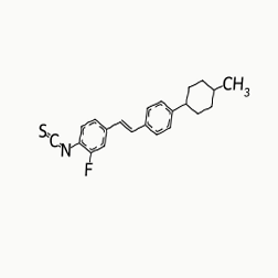 CC1CCC(c2ccc(C=Cc3ccc(N=C=S)c(F)c3)cc2)CC1